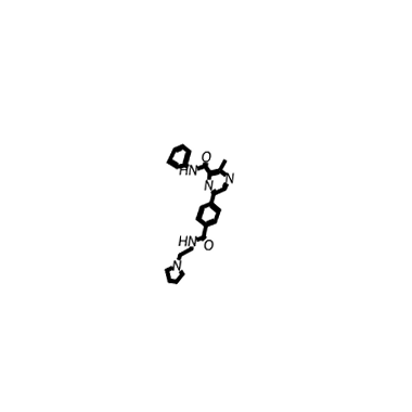 Cc1ncc(-c2ccc(C(=O)NCCN3CCCC3)cc2)nc1C(=O)Nc1ccccc1